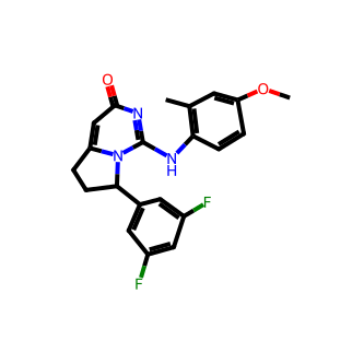 COc1ccc(Nc2nc(=O)cc3n2C(c2cc(F)cc(F)c2)CC3)c(C)c1